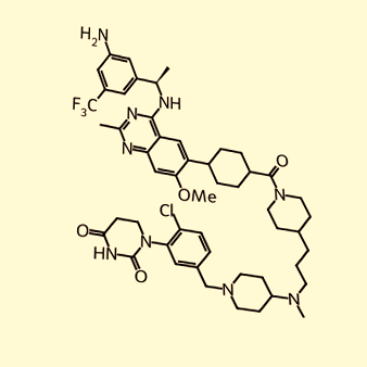 COc1cc2nc(C)nc(N[C@H](C)c3cc(N)cc(C(F)(F)F)c3)c2cc1C1CCC(C(=O)N2CCC(CCCN(C)C3CCN(Cc4ccc(Cl)c(N5CCC(=O)NC5=O)c4)CC3)CC2)CC1